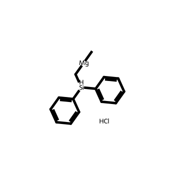 Cl.[CH3][Mg][CH2][SiH](c1ccccc1)c1ccccc1